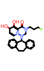 O=C1C2=C(O)C(O)C=CN2N(C2c3ccccc3CCc3ccccc32)CN1CCCF